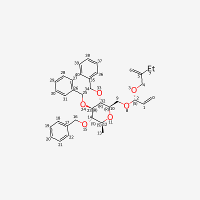 C=C[C@@H](OCC(=C)CC)OC[C@H]1O[C@@H](C)[C@H](OCc2ccccc2)[C@@H](OCc2ccccc2)[C@@H]1OCc1ccccc1